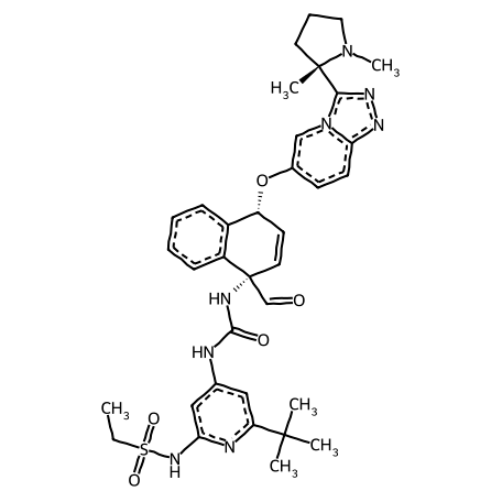 CCS(=O)(=O)Nc1cc(NC(=O)N[C@@]2(C=O)C=C[C@@H](Oc3ccc4nnc([C@]5(C)CCCN5C)n4c3)c3ccccc32)cc(C(C)(C)C)n1